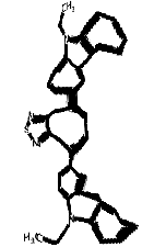 CCn1c2ccccc2c2cc(-c3ccc(-c4ccc5c(c4)c4ccccc4n5CC)c4nsnc34)ccc21